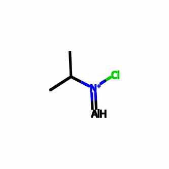 CC(C)[N+](=[AlH])Cl